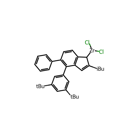 CCC(C)C1=Cc2c(ccc(-c3ccccc3)c2-c2cc(C(C)(C)C)cc(C(C)(C)C)c2)[CH]1[Zr]([Cl])[Cl]